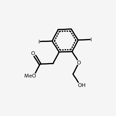 COC(=O)Cc1c(I)ccc(I)c1OCO